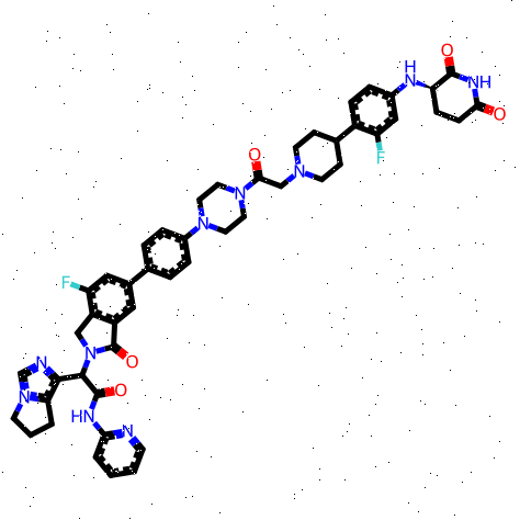 O=C1CC[C@@H](Nc2ccc(C3CCN(CC(=O)N4CCN(c5ccc(-c6cc(F)c7c(c6)C(=O)N(C(C(=O)Nc6ccccn6)c6ncn8c6CCC8)C7)cc5)CC4)CC3)c(F)c2)C(=O)N1